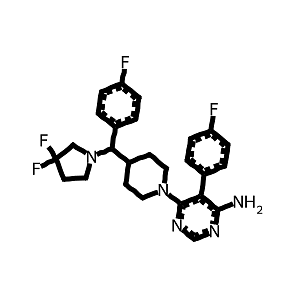 Nc1ncnc(N2CCC(C(c3ccc(F)cc3)N3CCC(F)(F)C3)CC2)c1-c1ccc(F)cc1